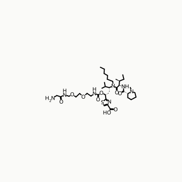 CCCCCCN(C(=O)[C@@H](NC(=O)[C@H]1CCCCN1C)[C@@H](C)CC)[C@H](C[C@@H](OC(=O)NCCOCCOCNC(=O)CN)c1nc(C(=O)O)cs1)C(C)C